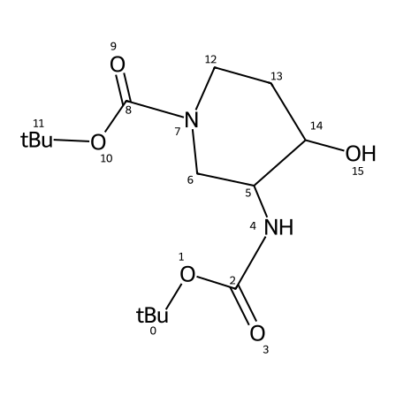 CC(C)(C)OC(=O)NC1CN(C(=O)OC(C)(C)C)CCC1O